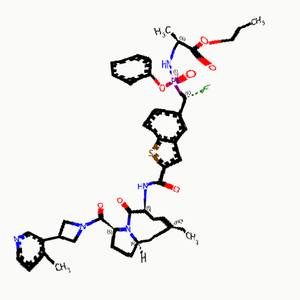 CCCOC(=O)[C@H](C)N[P@@](=O)(Oc1ccccc1)[C@H](F)c1ccc2sc(C(=O)N[C@H]3C[C@@H](C)C[C@H]4CC[C@@H](C(=O)N5CC(c6cnccc6C)C5)N4C3=O)cc2c1